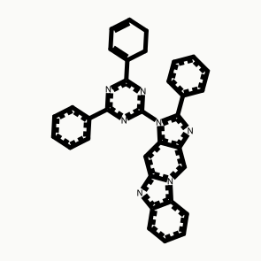 C1=CCCC(c2nc(-c3ccccc3)nc(-n3c(-c4ccccc4)nc4cn5c(cc43)nc3ccccc35)n2)=C1